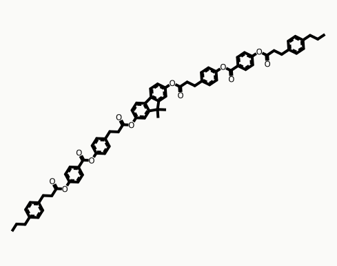 CCCc1ccc(CCC(=O)Oc2ccc(C(=O)Oc3ccc(CCC(=O)Oc4ccc5c(c4)C(C)(C)c4cc(OC(=O)CCc6ccc(OC(=O)c7ccc(OC(=O)CCc8ccc(CCC)cc8)cc7)cc6)ccc4-5)cc3)cc2)cc1